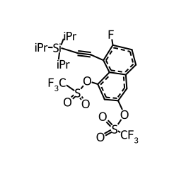 CC(C)[Si](C#Cc1c(F)ccc2cc(OS(=O)(=O)C(F)(F)F)cc(OS(=O)(=O)C(F)(F)F)c12)(C(C)C)C(C)C